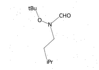 CC(C)CCN(C=O)OC(C)(C)C